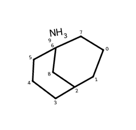 C1CC2CCCC(C1)C2.N